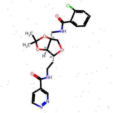 CC1(C)O[C@@H]2[C@@H](CCNC(=O)c3ccnnc3)OC[C@]2(CNC(=O)c2ccccc2Cl)O1